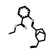 C=CC1CC2CC(C=Nc3ccccc3C(=O)OCC)C1C2